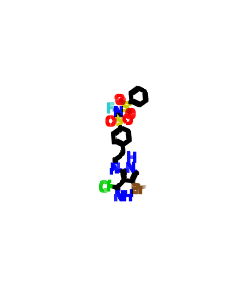 N=C(Cl)c1c(Br)c[nH]c1/N=C\Cc1ccc(S(=O)(=O)N(F)S(=O)(=O)c2ccccc2)cc1